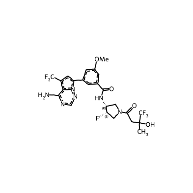 COc1cc(C(=O)N[C@@H]2CN(C(=O)CC(C)(O)C(F)(F)F)C[C@@H]2F)cc(-c2cc(C(F)(F)F)c3c(N)ncnn23)c1